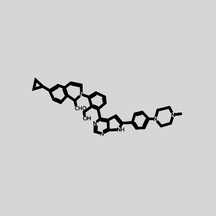 CN1CCN(c2ccc(-c3cc4c(-c5cccc(N6C=Cc7cc(C8CC8)ccc7C6C=O)c5CO)ncnc4[nH]3)cc2)CC1